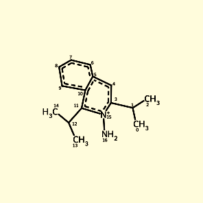 CC(C)c1cc2ccccc2c(C(C)C)[n+]1N